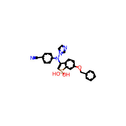 N#Cc1ccc(N(C2=CS(O)(O)c3cc(OCc4ccccc4)ccc32)n2ccnc2)cc1